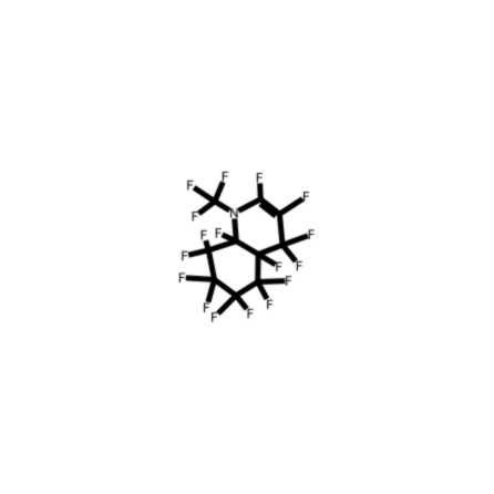 FC1=C(F)C(F)(F)C2(F)C(F)(F)C(F)(F)C(F)(F)C(F)(F)C2(F)N1C(F)(F)F